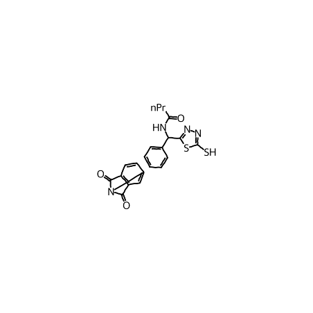 CCCC(=O)NC(c1ccccc1)c1nnc(S)s1.O=C1c2cc3ccc2c(=O)n31